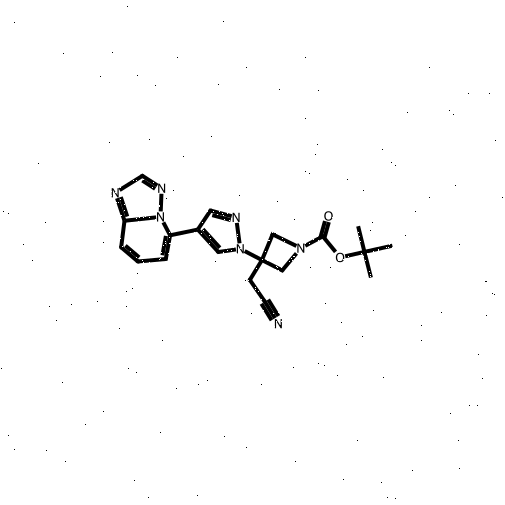 CC(C)(C)OC(=O)N1CC(CC#N)(n2cc(-c3cccc4ncnn34)cn2)C1